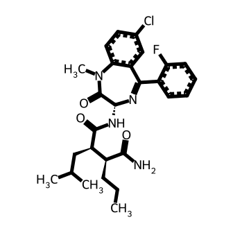 CCC[C@H](C(N)=O)[C@@H](CC(C)C)C(=O)N[C@H]1N=C(c2ccccc2F)c2cc(Cl)ccc2N(C)C1=O